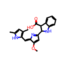 COC1=CC(C2Nc3ccccc3C2C(=O)O)=N/C1=C\c1[nH]c(C)cc1C